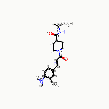 C[C@H](NC(=O)C1CCN(C(=O)/C=C/c2ccc(N(C)C)c([N+](=O)[O-])c2)CC1)C(=O)O